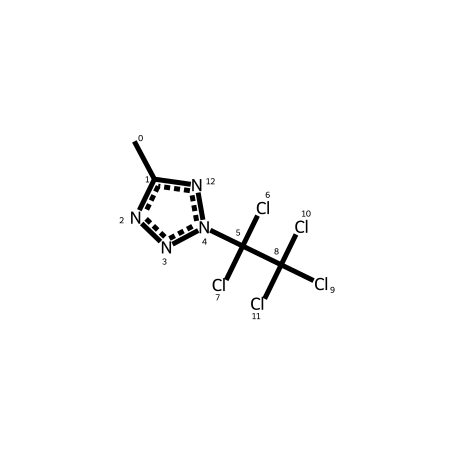 Cc1nnn(C(Cl)(Cl)C(Cl)(Cl)Cl)n1